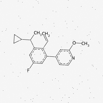 C=Cc1c(-c2ccnc(OC)c2)cc(F)cc1C(C)C1CC1